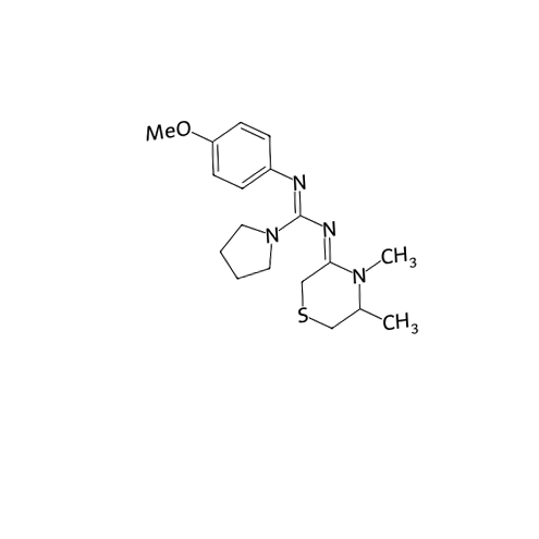 COc1ccc(N=C(N=C2CSCC(C)N2C)N2CCCC2)cc1